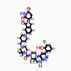 CC[C@@]12CNc3nnc(-c4cccc(F)c4O)cc3N1CCN(C(=O)N1CCN(CC3CCN(c4ccc5c(c4)C(=O)N([C@@H]4CCC(=O)NC4=O)C5)CC3)CC1(C)C)C2